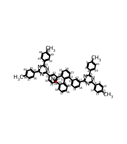 Cc1ccc(-c2nc(-c3ccc(C)cc3)nc(-c3cccc(-c4cccc(-c5cccc(-c6nc(-c7ccc(C)cc7)nc(-c7ccc(C)cc7)n6)c5)c4-c4ccccc4C#N)c3)n2)cc1